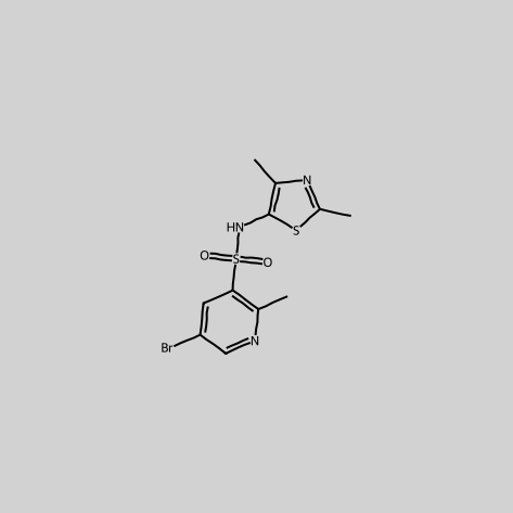 Cc1nc(C)c(NS(=O)(=O)c2cc(Br)cnc2C)s1